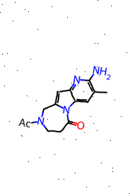 CC(=O)N1CCC(=O)n2c(cc3nc(N)c(C)cc32)C1